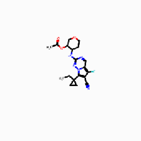 CCC1(c2c(C#N)c(F)c3cnc(NC4CCOCC4OC(C)=O)nn23)CC1